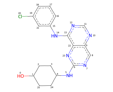 OC1CCC(Nc2ncc3ncnc(Nc4cccc(Cl)c4)c3n2)CC1